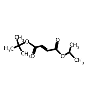 CC(C)OC(=O)C=CC(=O)OC(C)(C)C